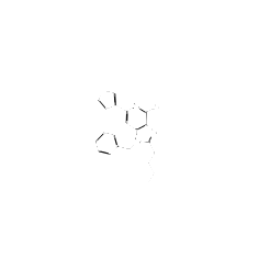 CCCCc1nc2c(N)nc(-c3ccsc3)cc2n1Cc1ccccc1